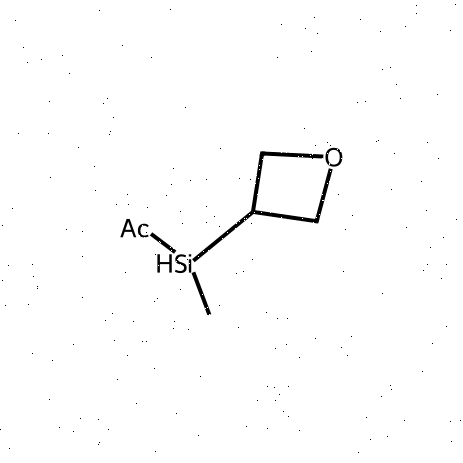 CC(=O)[SiH](C)C1COC1